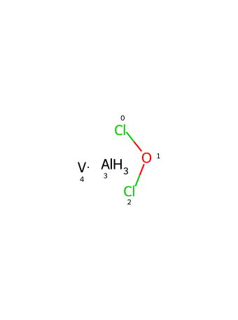 ClOCl.[AlH3].[V]